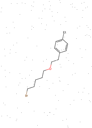 CCc1ccc(CCOCCCCCBr)cc1